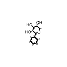 O[C@H]1[C@H](O)COC(c2[c]cccc2)[C@@H]1O